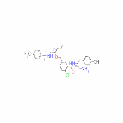 C=C/C=C(/CNC(C)(C)c1ccc(C(F)(F)F)cc1)OCc1ccc(Cl)c(C(=O)N[C@@H](CN)Cc2ccc(C#N)cc2)c1